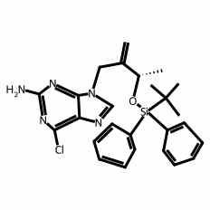 C=C(Cn1cnc2c(Cl)nc(N)nc21)[C@H](C)O[Si](c1ccccc1)(c1ccccc1)C(C)(C)C